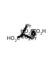 CC(C)CCCCCCC(CCCCCCC(C)C)(CCCC(=O)O)C(=O)O.O=C(O)C1(C(=O)O)CCCCC1